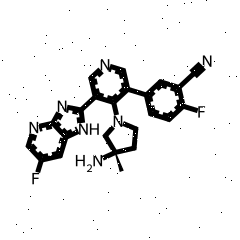 C[C@]1(N)CCN(c2c(-c3ccc(F)c(C#N)c3)cncc2-c2nc3ncc(F)cc3[nH]2)C1